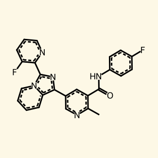 Cc1ncc(-c2nc(-c3ncccc3F)n3ccccc23)cc1C(=O)Nc1ccc(F)cc1